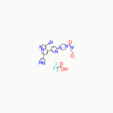 COCCN(C)C(=O)N1CCN(c2ccc(-c3cc(-c4cnn(C)c4)cn4ncc(C#N)c34)cn2)CC1.O=C(O)C(F)(F)F